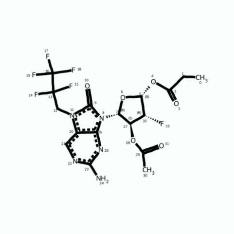 CCC(=O)O[C@H]1O[C@@H](n2c(=O)n(CC(F)(F)C(F)(F)F)c3cnc(N)nc32)[C@H](OC(C)=O)[C@H]1F